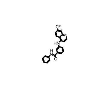 O=C(Nc1ccccc1)c1cccc(Nc2ccnc3cc(C(F)(F)F)ccc23)c1